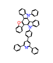 c1ccc(-c2cc(-c3ccc(-n4c5ccccc5c5c6c(c7ccccc7n6-c6ccccc6)c6oc7ccccc7c6c54)cc3)cc(-c3ccccc3)n2)cc1